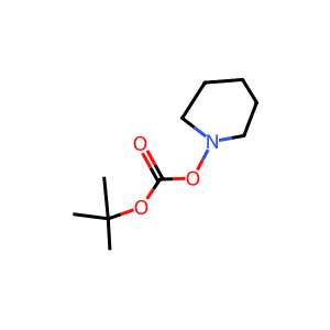 CC(C)(C)OC(=O)ON1CCCCC1